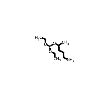 CCOP(OCC)OC(C)CCCN